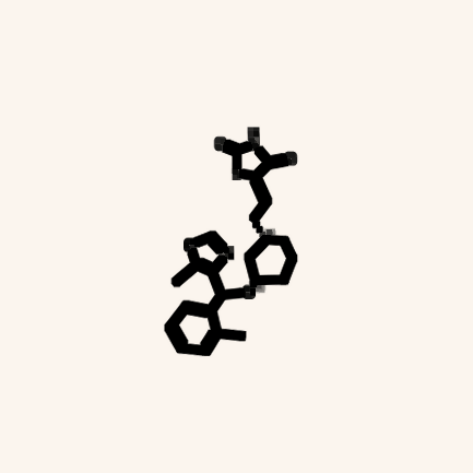 Cc1ccccc1C(O[C@H]1CCC[C@@H](CC=C2SC(=O)NC2=O)C1)c1ncoc1C